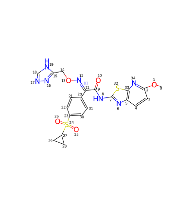 COc1ccc2nc(NC(=O)/C(=N/OCc3nnc[nH]3)c3ccc(S(=O)(=O)C4CC4)cc3)sc2n1